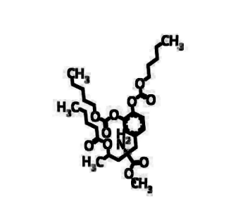 CCCCCOC(=O)Oc1ccc(C[C@](N)(CC(C)OC(=O)CCCC)C(=O)OC)cc1OC(=O)OCCCCC